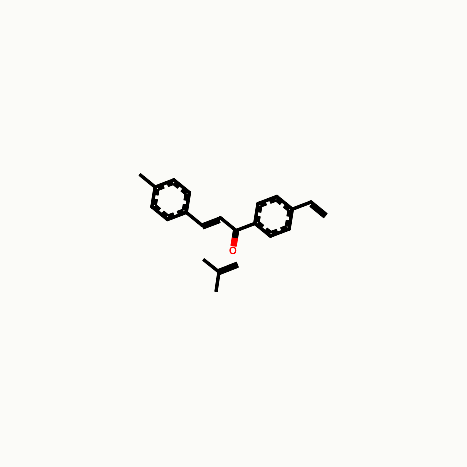 C=C(C)C.C=Cc1ccc(C(=O)C=Cc2ccc(C)cc2)cc1